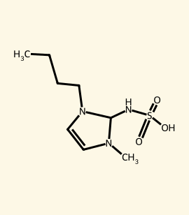 CCCCN1C=CN(C)C1NS(=O)(=O)O